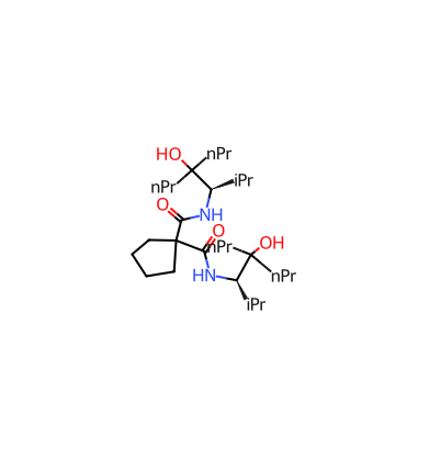 CCCC(O)(CCC)[C@H](NC(=O)C1(C(=O)N[C@H](C(C)C)C(O)(CCC)CCC)CCCC1)C(C)C